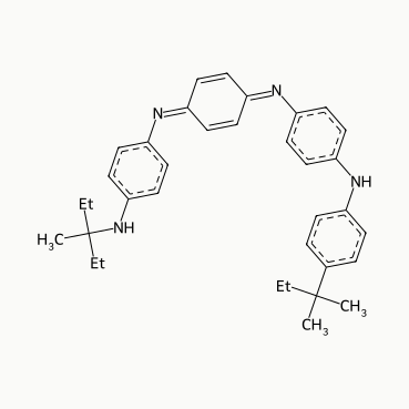 CCC(C)(CC)Nc1ccc(N=C2C=CC(=Nc3ccc(Nc4ccc(C(C)(C)CC)cc4)cc3)C=C2)cc1